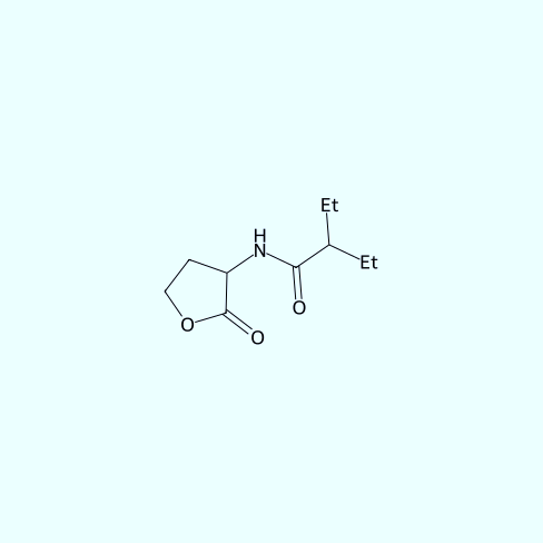 CCC(CC)C(=O)NC1CCOC1=O